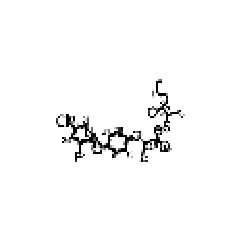 CCOC(=O)C(C)SOC(=O)C(C)Oc1ccc(Oc2ncc(Cl)cc2F)cc1